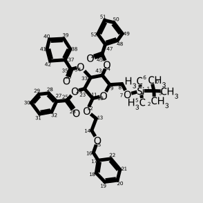 CC(C)(C)[Si](C)(C)OCC1OC(OCCOCc2ccccc2)C(OC(=O)c2ccccc2)C(OC(=O)c2ccccc2)C1OC(=O)c1ccccc1